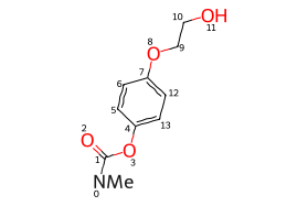 CNC(=O)Oc1ccc(OCCO)cc1